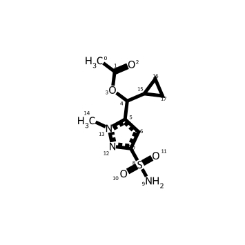 CC(=O)OC(c1cc(S(N)(=O)=O)nn1C)C1CC1